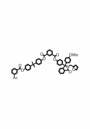 COc1ccc(C2(c3ccc(OC(=O)c4cccc(C(=O)Oc5ccc(C(C)(C)c6ccc(OC(=O)c7cccc(C(C)=O)c7)cc6)cc5)c4)cc3)c3ccccc3C(=O)N2Cc2ccco2)cc1